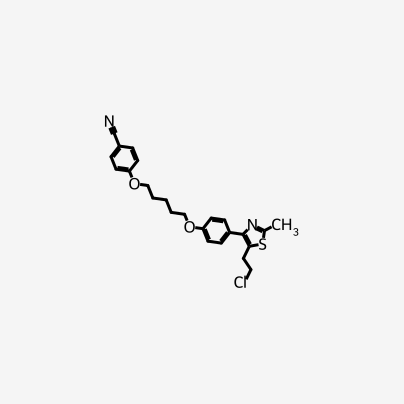 Cc1nc(-c2ccc(OCCCCCOc3ccc(C#N)cc3)cc2)c(CCCl)s1